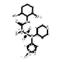 CC1CCCC(C)C1NC(=O)[NH+]([O-])S(=O)(=O)N(c1cnn(C)c1)C1CCOCC1